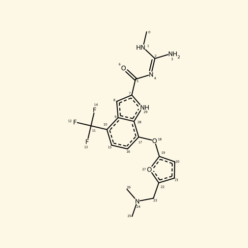 CNC(N)=NC(=O)c1cc2c(C(F)(F)F)ccc(Oc3ccc(CN(C)C)o3)c2[nH]1